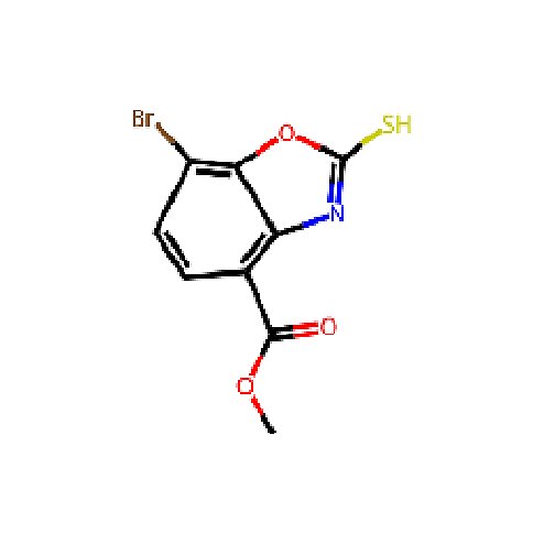 COC(=O)c1ccc(Br)c2oc(S)nc12